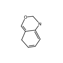 C1=CCC2=COC[N]C2=C1